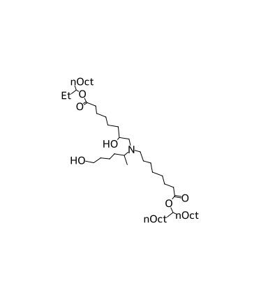 CCCCCCCCC(CC)OC(=O)CCCCCC(O)CN(CCCCCCCC(=O)OC(CCCCCCCC)CCCCCCCC)C(C)CCCCO